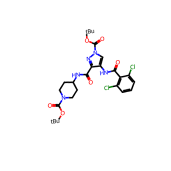 CC(C)(C)OC(=O)N1CCC(NC(=O)c2nn(C(=O)OC(C)(C)C)cc2NC(=O)c2c(Cl)cccc2Cl)CC1